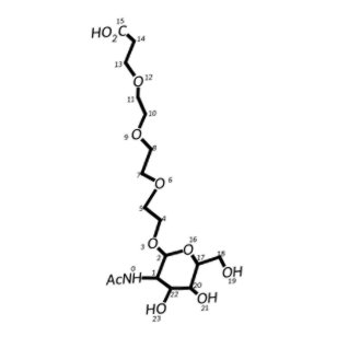 CC(=O)NC1C(OCCOCCOCCOCCC(=O)O)OC(CO)C(O)C1O